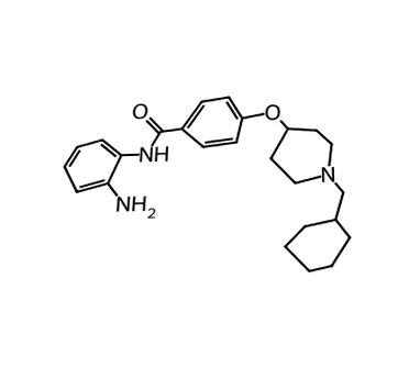 Nc1ccccc1NC(=O)c1ccc(OC2CCN(CC3CCCCC3)CC2)cc1